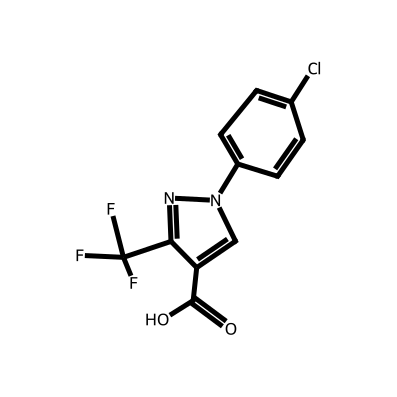 O=C(O)c1cn(-c2ccc(Cl)cc2)nc1C(F)(F)F